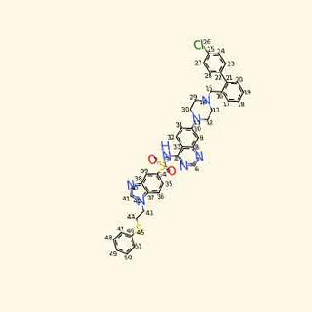 O=S(=O)(Nc1ncnc2cc(N3CCN(Cc4ccccc4-c4ccc(Cl)cc4)CC3)ccc12)c1ccc2c(c1)ncn2CCSc1ccccc1